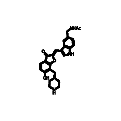 CC(=O)NCc1ccc2[nH]cc(/C=C3\Oc4c(ccc(O)c4CN4CCNCC4)C3=O)c2c1